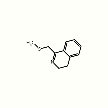 CSCC1=NCCc2ccccc21